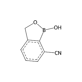 N#Cc1cccc2c1B(O)OC2